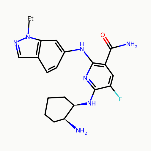 CCn1ncc2ccc(Nc3nc(N[C@@H]4CCCC[C@@H]4N)c(F)cc3C(N)=O)cc21